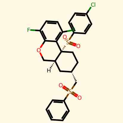 O=S(=O)(C[C@H]1CC[C@]2(S(=O)(=O)c3ccc(Cl)cc3)c3c(F)ccc(F)c3OC[C@@H]2C1)c1ccccc1